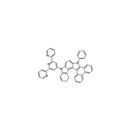 C1=Cc2c(c3c4c5c6ccccc6c6ccccc6c5n(-c5ccccc5)c4ccc3n2-c2cc(-c3ccccn3)nc(-c3ccccn3)c2)CC1